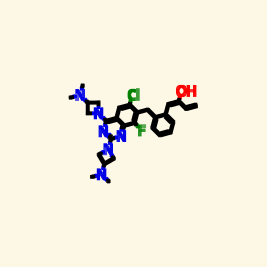 C=C/C(O)=C\c1ccccc1Cc1c(Cl)cc2c(N3CC(N(C)C)C3)nc(N3CC(N(C)C)C3)nc2c1F